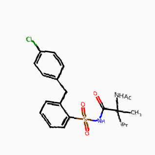 CC(=O)NC(C)(C(=O)NS(=O)(=O)c1ccccc1Cc1ccc(Cl)cc1)C(C)C